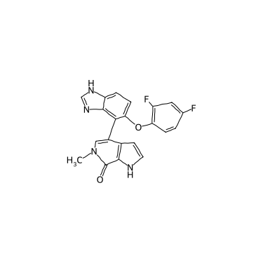 Cn1cc(-c2c(Oc3ccc(F)cc3F)ccc3[nH]cnc23)c2cc[nH]c2c1=O